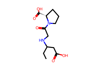 CCC(CC(=O)O)NCC(=O)N1CCC[C@H]1C(=O)O